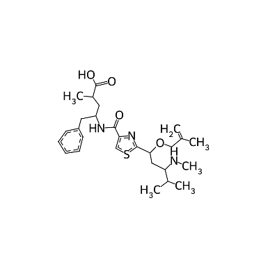 C=C(C)COC(CC(NC)C(C)C)c1nc(C(=O)NC(Cc2ccccc2)CC(C)C(=O)O)cs1